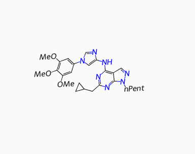 CCCCCn1ncc2c(Nc3cn(-c4cc(OC)c(OC)c(OC)c4)cn3)nc(CC3CC3)nc21